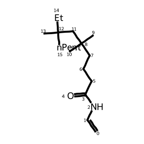 C=CNC(=O)CCCC(C)(C)CC(C)(CC)CCCCC